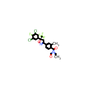 C=CN(C=O)C(=O)c1ccc(C2=NO[C@@](C3C=C(Cl)C(F)=C(Cl)C3)(C(F)(F)F)C2)cc1C